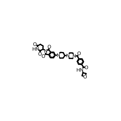 O=C1CCC(N2C(=O)c3ccc(N4CCC(N5CCN(C(=O)c6ccc(C(=O)NC7COC7)cc6)CC5)CC4)cc3C2=O)C(=O)N1